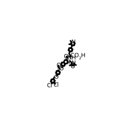 Cc1nc(CN2Cc3cc4c(cc3C[C@H]2C(=O)NC(Cc2ccc(-c3ccnc(C)c3C)cc2)C(=O)O)OC[C@H](c2ccc(OCc3ccc(Cl)c(Cl)c3)cc2)O4)c(C)o1